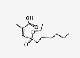 CCCCCCP(=O)(C=C(C)C(=O)O)OCC